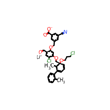 Cc1ccccc1C1=CC=CC(COc2cc(OCc3cc(C#N)cc(C(=O)[O-])c3)c(C=O)cc2Cl)(OCCCCl)C1C.[Li+]